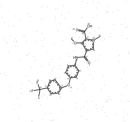 COc1c(C(=O)Nc2ccc(Oc3ccc(C(F)(F)F)cc3)cc2)cn(C)c1C(=O)O